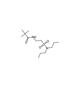 CCCN(CCC)S(=O)(=O)CCNC(=O)C(C)(C)C